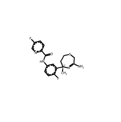 C[C@@]1(c2cc(NC(=O)c3ccc(F)cn3)ccc2F)CCSCC(N)=N1